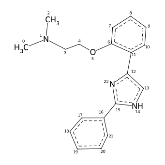 CN(C)CCOc1ccccc1-c1c[nH]c(-c2ccccc2)n1